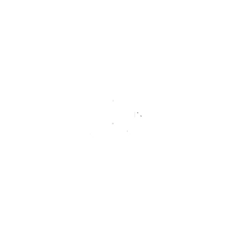 CNC.CO[SiH](OC)OC